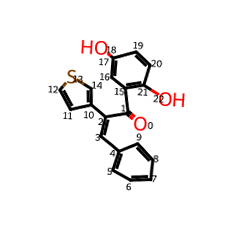 O=C(C(=Cc1ccccc1)c1ccsc1)c1cc(O)ccc1O